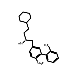 CCCCN(CCC1CCCCC1)Cc1ccc(C(=O)O)c(-c2ccccc2C)c1